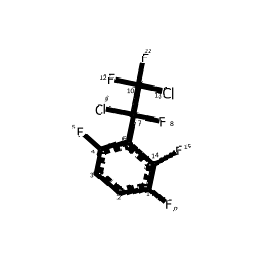 Fc1ccc(F)c(C(F)(Cl)C(F)(F)Cl)c1F